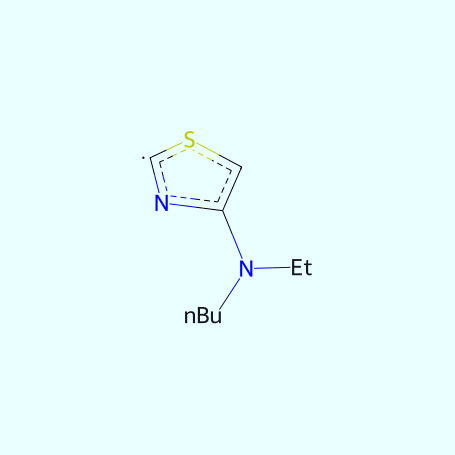 CCCCN(CC)c1cs[c]n1